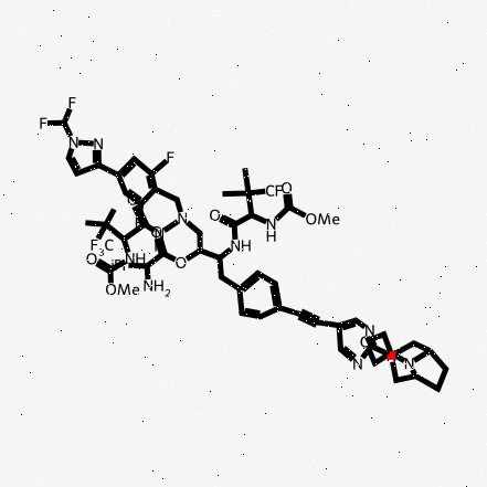 COC(=O)NC(C(=O)NC(Cc1ccc(C#Cc2cnc(N3CC4CCC(C3)N4C3COC3)nc2)cc1)C(CN(Cc1c(F)cc(-c2ccn(C(F)F)n2)cc1F)NC(=O)C(NC(=O)OC)C(C)(C)C(F)(F)F)OC(=O)C(N)C(C)C)C(C)(C)C(F)(F)F